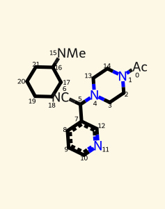 CC(=O)N1CCN(C(C#N)c2cccnc2)CC1.CNC1CCCCC1